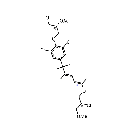 COC[C@@H](O)CO/C(C)=C/C=C(\C)C(C)(C)c1cc(Cl)c(OC[C@H](CCl)OC(C)=O)c(Cl)c1